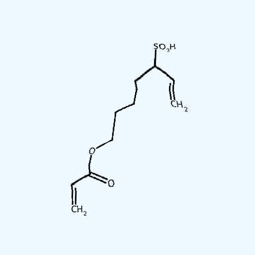 C=CC(=O)OCCCCC(C=C)S(=O)(=O)O